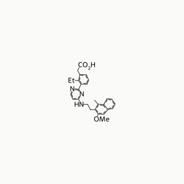 CCc1c(CC(=O)O)cccc1-c1nccc(NCCc2c(OC)cc3ccccc3c2C)n1